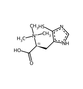 C[N+](C)(C)[C@@H](Cc1[nH]cnc1S)C(=O)O